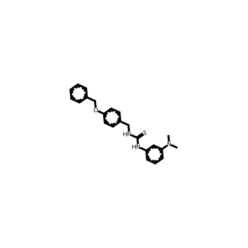 CN(C)c1cccc(NC(=S)NCc2ccc(OCc3ccccc3)cc2)c1